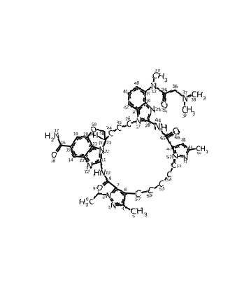 CCn1nc(C)c2c1C(=O)Nc1nc3cc(C(N)=O)cc4c3n1[C@@H](CCCn1c(nc3c(N(C)C(=O)CN(C)C)cccc31)NC(=O)c1cc(C)nn1CCCCC2)CO4